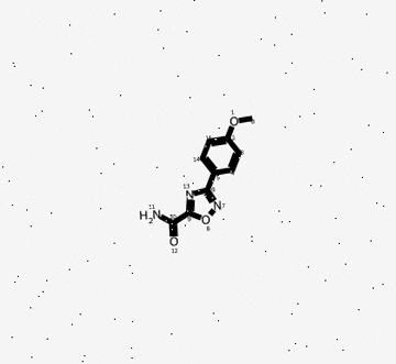 COc1ccc(-c2noc(C(N)=O)n2)cc1